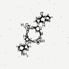 C=C[P@]1(=O)OC[C@H]2C[C@@H](n3cnc4c(N)ncnc43)[C@@H]2CO[P@](=O)(S)OC[C@@H]2C[C@@H](O1)[C@H](n1cnc3c(=O)n4ccnc4[nH]c31)O2